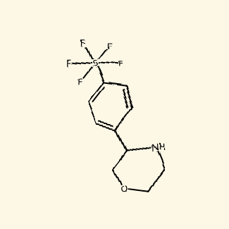 FS(F)(F)(F)(F)c1ccc(C2COCCN2)cc1